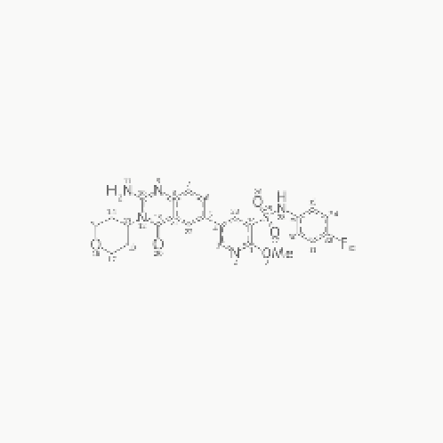 COc1ncc(-c2ccc3nc(N)n(C4CCOCC4)c(=O)c3c2)cc1S(=O)(=O)Nc1ccc(F)cc1